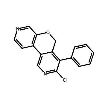 Clc1ncc2c(c1-c1ccccc1)COc1cnccc1-2